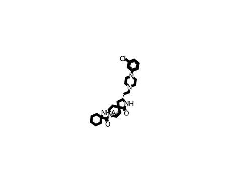 CC(=O)NC1(C(=O)N2CCC3(CC2)C[C@H](CCN2CCN(c4cccc(Cl)c4)CC2)NC3=O)CCCCC1